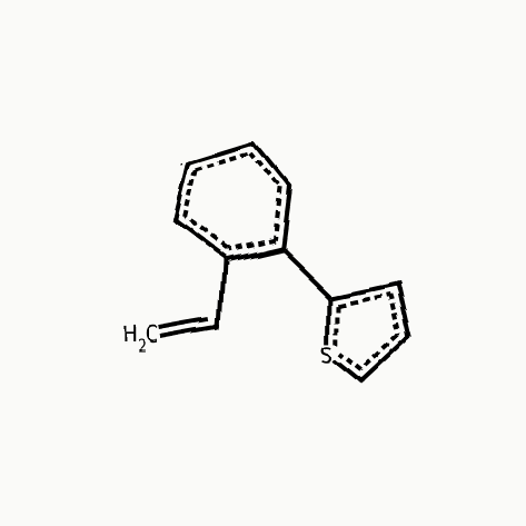 C=Cc1c[c]ccc1-c1cccs1